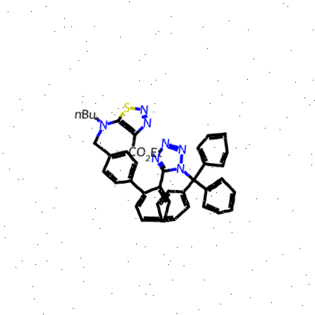 CCCCN(Cc1ccc(-c2ccccc2-c2nnnn2C(c2ccccc2)(c2ccccc2)c2ccccc2)cc1)c1snnc1C(=O)OCC